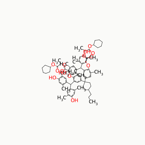 CCCC1CCC(c2cc(C)c(OCC(=O)OC(C)C(=O)OC3CCCCC3)c(C(c3cc(C)c(O)cc3C)c3cc(C)c(O)cc3C)c2)(c2cc(C)c(OCC(=O)OC(C)C(=O)OC3CCCCC3)c(C(c3cc(C)c(O)cc3C)c3cc(C)c(O)cc3C)c2)CC1